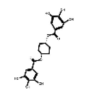 O=C(O[C@H]1CC[C@@H](OC(=O)c2cc(O)c(O)c(O)c2)CC1)c1cc(O)c(O)c(O)c1